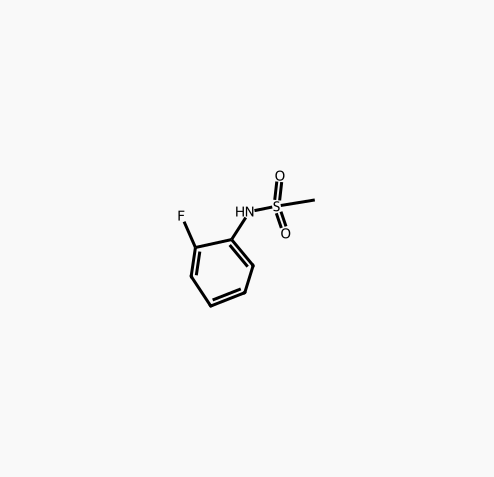 CS(=O)(=O)Nc1ccccc1F